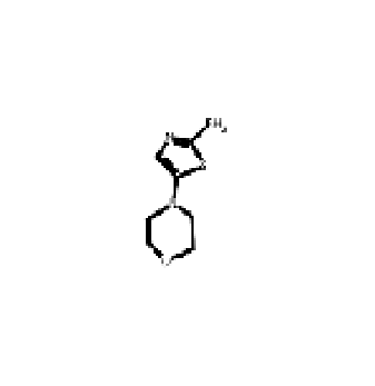 Bc1ncc(N2CCOCC2)s1